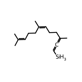 CC(=C=C[SiH3])CCC=C(C)CCC=C(C)C